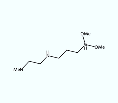 CNCCNCCC[SiH](OC)OC